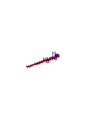 CCC=CCC=CCC=CCC=CCC=CCC=CCCC(=O)NCCOCCNC(=O)c1cccnc1